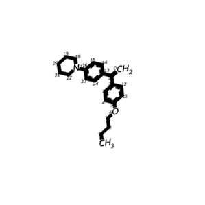 C=C(c1ccc(OCCCC)cc1)c1ccc(N2CCCCC2)cc1